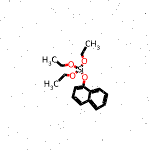 CCO[Si](OCC)(OCC)Oc1cccc2ccccc12